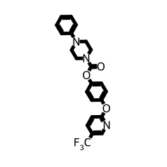 O=C(Oc1ccc(Oc2ccc(C(F)(F)F)cn2)cc1)N1CCN(c2ccccc2)CC1